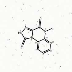 Cn1c(=O)c2n[nH]c(=O)n2c2cccnc21